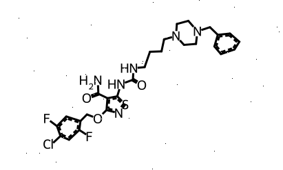 NC(=O)c1c(OCc2cc(F)c(Cl)cc2F)nsc1NC(=O)NCCCCN1CCN(Cc2ccccc2)CC1